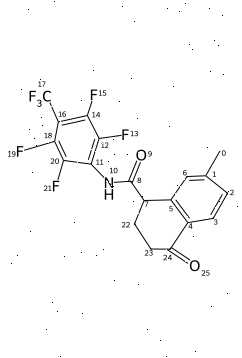 Cc1ccc2c(c1)C(C(=O)Nc1c(F)c(F)c(C(F)(F)F)c(F)c1F)CCC2=O